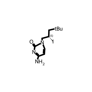 CC(C)(C)C[C@H](I)Cn1ccc(N)nc1=O